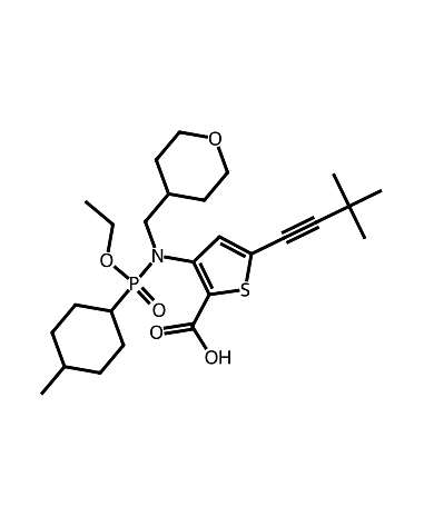 CCOP(=O)(C1CCC(C)CC1)N(CC1CCOCC1)c1cc(C#CC(C)(C)C)sc1C(=O)O